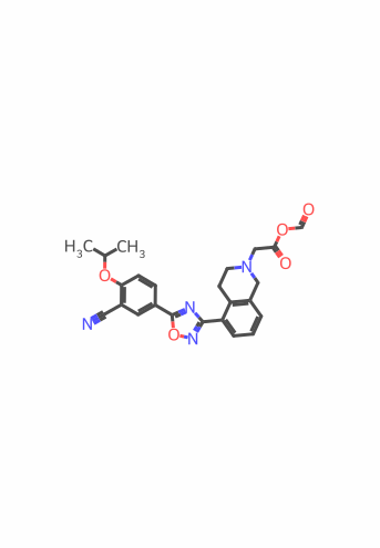 CC(C)Oc1ccc(-c2nc(-c3cccc4c3CCN(CC(=O)OC=O)C4)no2)cc1C#N